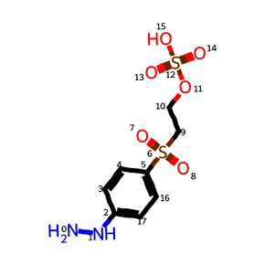 NNc1ccc(S(=O)(=O)CCOS(=O)(=O)O)cc1